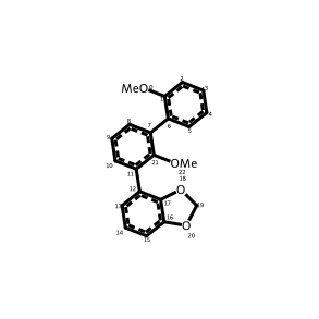 COc1c[c]ccc1-c1cccc(-c2cccc3c2OCO3)c1OC